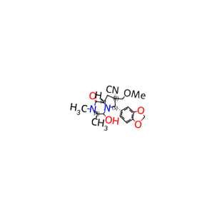 COC[C@]1(C#N)C[C@H]2C(=O)N(C)[C@H](C)C(O)N2[C@H]1c1ccc2c(c1)OCO2